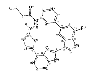 CCCC(=O)Nc1cncc(-c2cc(F)c3[nH]nc(-c4nc5c(-c6ccc(C(C)=O)s6)nccc5[nH]4)c3c2)c1